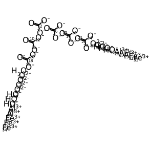 O.O=C([O-])[O-].O=C([O-])[O-].O=C([O-])[O-].O=C([O-])[O-].O=C([O-])[O-].O=C([O-])[O-].[Al+3].[Al+3].[Al+3].[Al+3].[Al+3].[Fe+3].[Fe+3].[Fe+3].[Fe+3].[Fe+3].[O-2].[O-2].[O-2].[O-2].[O-2].[O-2].[OH-].[OH-].[OH-].[OH-].[OH-].[OH-]